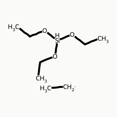 CCO[SiH](OCC)OCC.[CH2]C